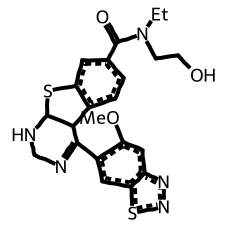 CCN(CCO)C(=O)c1ccc2c(c1)SC1NCN=C(c3cc4snnc4cc3OC)C21